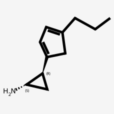 CCCC1=CC=C([C@H]2C[C@@H]2N)C1